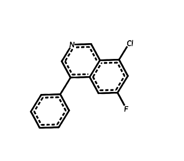 Fc1cc(Cl)c2cncc(-c3ccccc3)c2c1